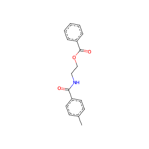 Cc1ccc(C(=O)NCCOC(=O)c2ccccc2)cc1